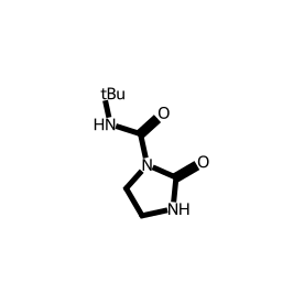 CC(C)(C)NC(=O)N1CCNC1=O